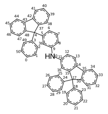 c1ccc(C2(c3cccc(Nc4ccc5c(c4)C(c4ccccc4)(c4ccccc4)c4ccccc4-5)c3)c3ccccc3-c3ccccc32)cc1